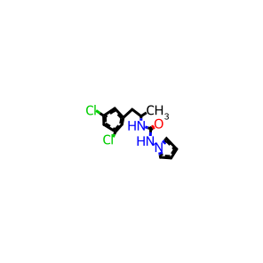 CC(Cc1cc(Cl)cc(Cl)c1)NC(=O)Nn1cccc1